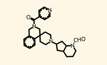 O=CN1CCCC2CC(N3CCC4(CC3)CN(C(=O)c3ccncc3)Cc3ccccc34)CC21